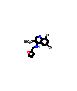 CCOC(=O)c1cnc2c(CC)cc(C#N)cc2c1NCc1ccco1